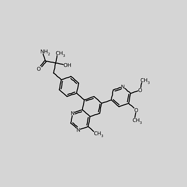 COc1cc(-c2cc(-c3ccc(CC(C)(O)C(N)=O)cc3)c3ncnc(C)c3c2)cnc1OC